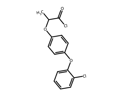 CC(Oc1ccc(Oc2ccccc2Cl)cc1)C(=O)Cl